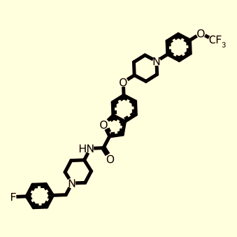 O=C(NC1CCN(Cc2ccc(F)cc2)CC1)c1cc2ccc(OC3CCN(c4ccc(OC(F)(F)F)cc4)CC3)cc2o1